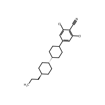 CCC[C@H]1CC[C@H](C2CCC(c3cc(Cl)c(C#N)c(Cl)c3)CC2)CC1